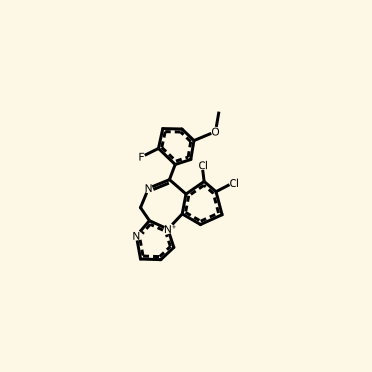 COc1ccc(F)c(C2=NCc3nccc[n+]3-c3ccc(Cl)c(Cl)c32)c1